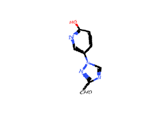 O=Cc1ncn(-c2ccc(O)nc2)n1